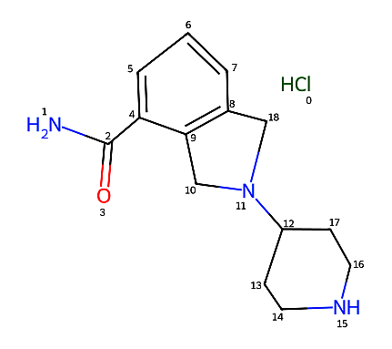 Cl.NC(=O)c1cccc2c1CN(C1CCNCC1)C2